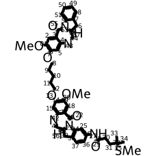 COc1cc2c(cc1OCCCCCOc1cc3c(cc1OC)C(=O)N1c4cc(NC(=O)CCC(C)(C)SC)ccc4C[C@H]1C=N3)N=C[C@@H]1Cc3ccccc3N1C2=O